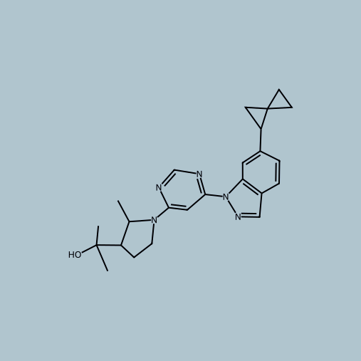 CC1C(C(C)(C)O)CCN1c1cc(-n2ncc3ccc(C4CC45CC5)cc32)ncn1